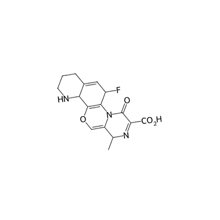 CC1N=C(C(=O)O)C(=O)N2C1=COC1=C2C(F)C=C2CCCNC21